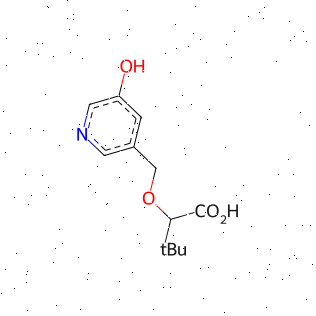 CC(C)(C)C(OCc1cncc(O)c1)C(=O)O